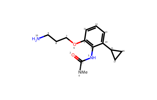 CNC(=O)Nc1c(OCCCN)cccc1C1CC1